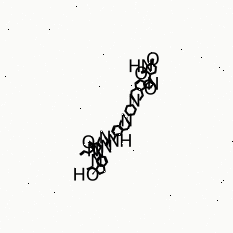 C=CCn1c(=O)c2cnc(Nc3ccc4c(c3)CCN([C@H]3CC[C@@H](N5CCc6ccc7c(C8CCC(=O)NC8=O)noc7c6CC5)CC3)C4)nc2n1-c1ccc2c(n1)[C@@](O)(CC)CC2